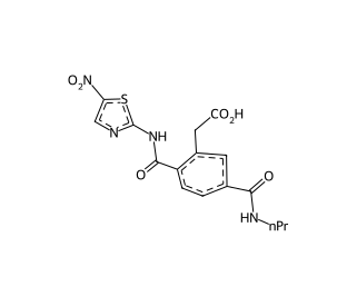 CCCNC(=O)c1ccc(C(=O)Nc2ncc([N+](=O)[O-])s2)c(CC(=O)O)c1